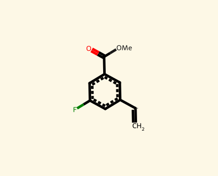 C=[C]c1cc(F)cc(C(=O)OC)c1